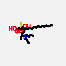 CCCCCCCCCCCCCCC(CCC(CC)N(CCCC)CCCC)C(O)(CC(=O)O)C(O)=S